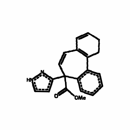 COC(=O)C1(c2cc[nH]n2)C=CC2=C(CCC=C2)c2ccccc21